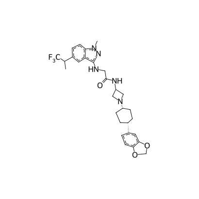 CC(c1ccc2c(c1)c(NCC(=O)NC1CN([C@H]3CC[C@@H](c4ccc5c(c4)OCO5)CC3)C1)nn2C)C(F)(F)F